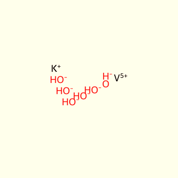 [K+].[OH-].[OH-].[OH-].[OH-].[OH-].[OH-].[V+5]